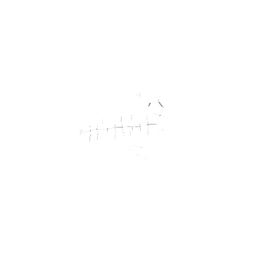 CCC(C)(C=C(C)C(=O)O)C([O])C(F)(F)C(F)(F)C(F)(F)C(F)(F)C(F)(F)C(F)(F)C(F)(F)C(F)(F)F.C[CH]C[O].C[CH]C[O]